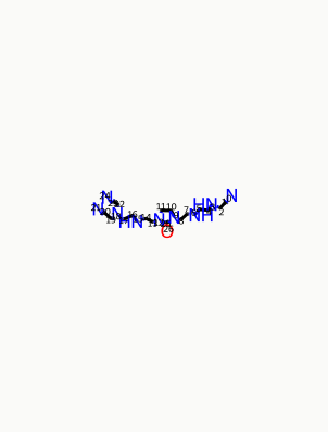 N#CCNCCNCCN1CCN(CCNCCN(CC#N)CC#N)C1=O